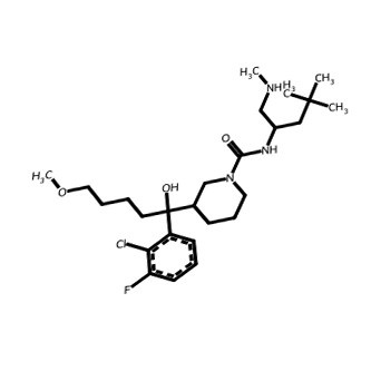 CNCC(CC(C)(C)C)NC(=O)N1CCCC(C(O)(CCCCOC)c2cccc(F)c2Cl)C1